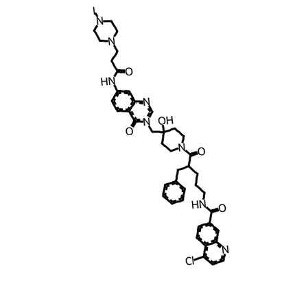 O=C(CCN1CCN(I)CC1)Nc1ccc2c(=O)n(CC3(O)CCN(C(=O)C(CCCNC(=O)c4ccc5c(Cl)ccnc5c4)Cc4ccccc4)CC3)cnc2c1